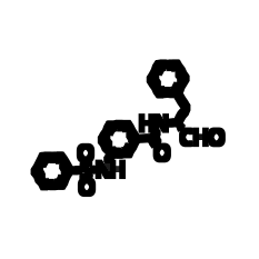 O=C[C@H](Cc1ccccc1)NC(=O)c1cccc(NS(=O)(=O)c2ccccc2)c1